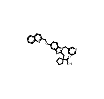 O=C(O)C1(Cc2nc3cc(OCc4ccc5ccccc5n4)ccc3n2Cc2cccnc2)CCCC1